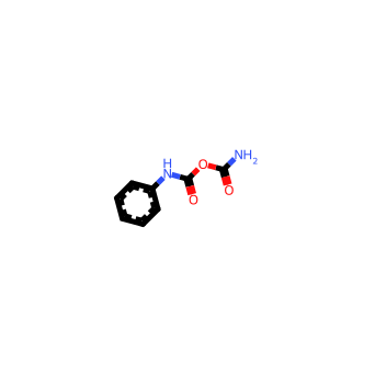 NC(=O)OC(=O)Nc1ccccc1